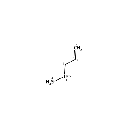 C=CC[Te+][SiH3]